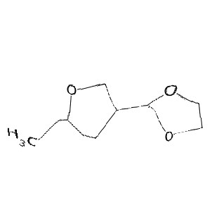 CC1CC([C]2OCCO2)CO1